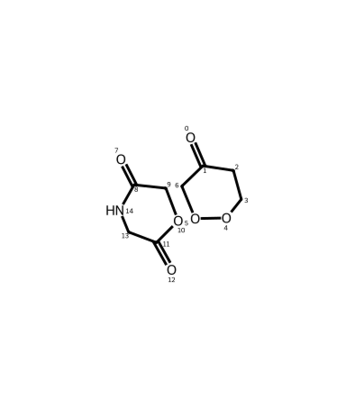 O=C1CCOOC1.O=C1COC(=O)CN1